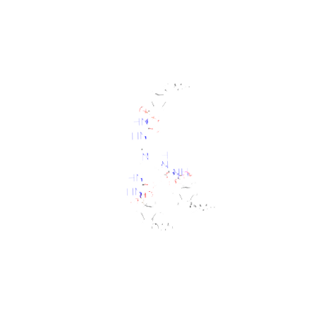 COc1ccc(S(=O)(=O)NC(=O)NCCN(CCNC(=O)NS(=O)(=O)c2ccc(OC)cc2)CCNC(=O)NS(=O)(=O)c2ccc(OC)cc2)cc1